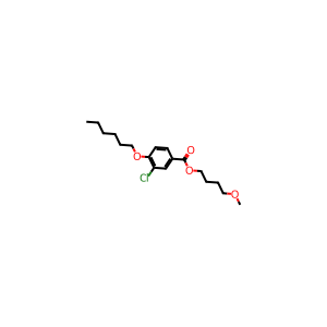 CCCCCCOc1ccc(C(=O)OCCCCOC)cc1Cl